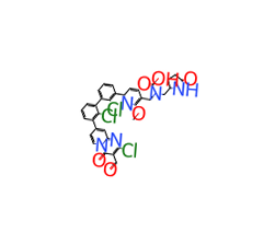 COc1nc(-c2cccc(-c3cccc(-c4ccn5c(=O)c(C=O)c(Cl)nc5c4)c3Cl)c2Cl)ccc1CN(CC1CCC(=O)N1)C(=O)O